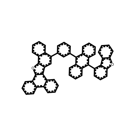 c1cc(-c2c3ccccc3c(-c3cccc4oc5ccccc5c34)c3ccccc23)cc(-c2cc3c(oc4c5ccccc5c5ccccc5c34)c3ccccc23)c1